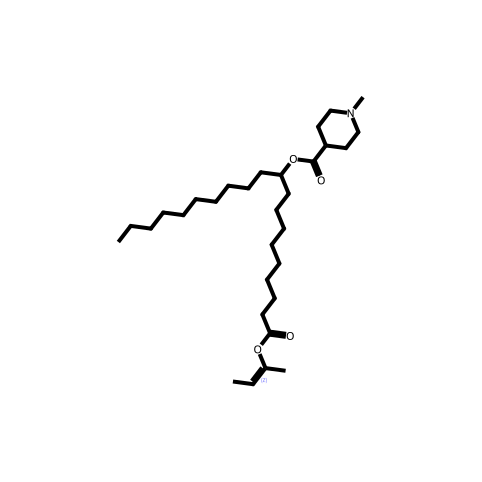 C/C=C(/C)OC(=O)CCCCCCCCC(CCCCCCCCCC)OC(=O)C1CCN(C)CC1